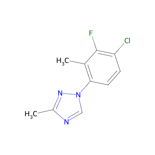 Cc1ncn(-c2ccc(Cl)c(F)c2C)n1